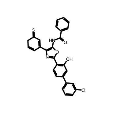 O=C(Nc1oc(-c2ccc(-c3cccc(Cl)c3)cc2O)nc1C1=CC(=S)CC=C1)c1ccccc1